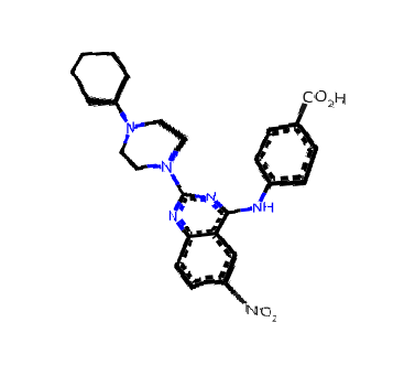 O=C(O)c1ccc(Nc2nc(N3CCN(C4CCCCC4)CC3)nc3ccc([N+](=O)[O-])cc23)cc1